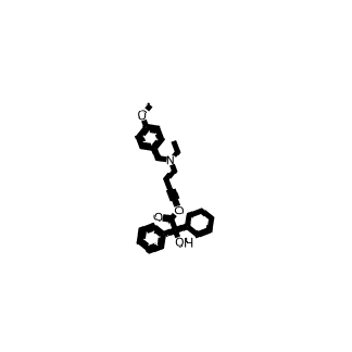 CCN(CCC#COC(=O)C(O)(c1ccccc1)C1CCCCC1)Cc1ccc(OC)cc1